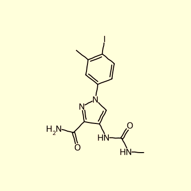 CNC(=O)Nc1cn(-c2ccc(I)c(C)c2)nc1C(N)=O